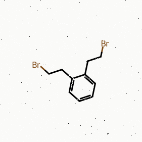 BrCCc1ccccc1CCBr